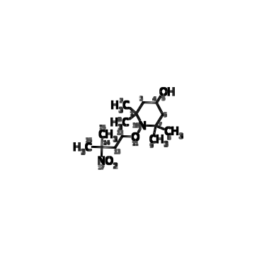 CC1(C)CC(O)CC(C)(C)N1OCCC(C)(C)[N+](=O)[O-]